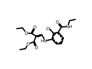 CCNC(=O)c1cccc(NC=C(C(=O)OCC)C(=O)OCC)c1Cl